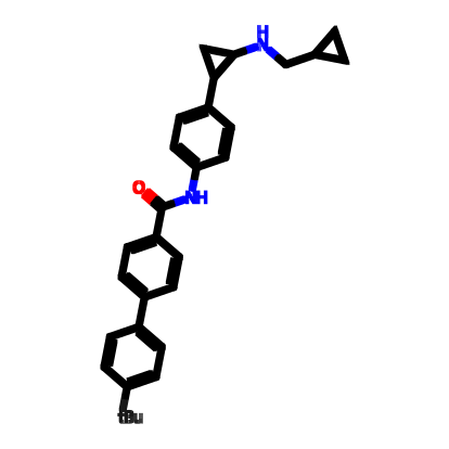 CC(C)(C)c1ccc(-c2ccc(C(=O)Nc3ccc(C4CC4NCC4CC4)cc3)cc2)cc1